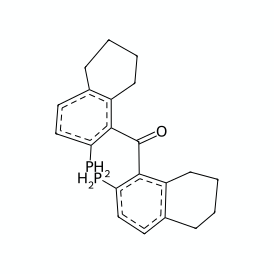 O=C(c1c(P)ccc2c1CCCC2)c1c(P)ccc2c1CCCC2